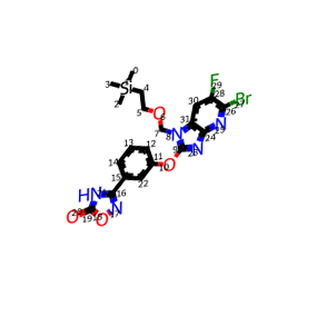 C[Si](C)(C)CCOCn1c(Oc2cccc(-c3noc(=O)[nH]3)c2)nc2nc(Br)c(F)cc21